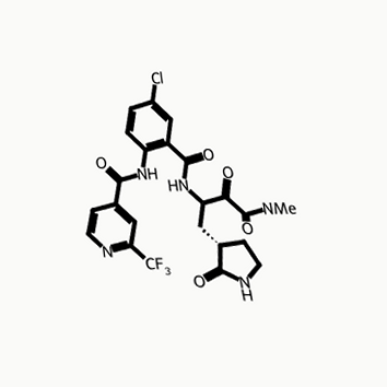 CNC(=O)C(=O)C(C[C@@H]1CCNC1=O)NC(=O)c1cc(Cl)ccc1NC(=O)c1ccnc(C(F)(F)F)c1